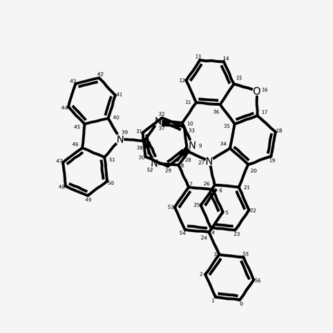 c1ccc(-c2ccc(-c3nc(-c4cccc5oc6ccc7c8ccccc8n(-c8ccccc8)c7c6c45)nc(-n4c5ccccc5c5ccccc54)n3)cc2)cc1